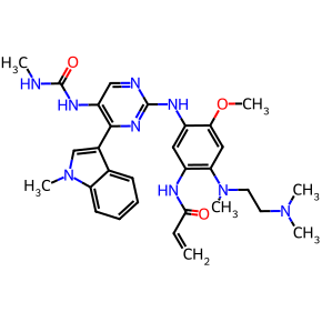 C=CC(=O)Nc1cc(Nc2ncc(NC(=O)NC)c(-c3cn(C)c4ccccc34)n2)c(OC)cc1N(C)CCN(C)C